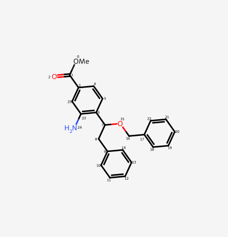 COC(=O)c1ccc(C(Cc2ccccc2)OCc2ccccc2)c(N)c1